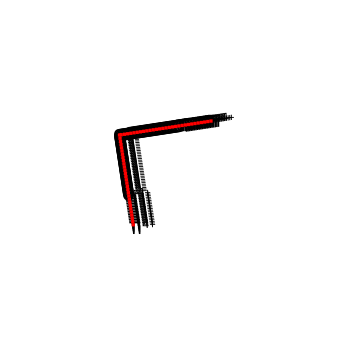 [O-2].[O-2].[O-2].[O-2].[O-2].[O-2].[O-2].[O-2].[O-2].[O-2].[O-2].[O-2].[O-2].[O-2].[O-2].[O-2].[O-2].[O-2].[O-2].[O-2].[O-2].[O-2].[O-2].[O-2].[O-2].[O-2].[O-2].[O-2].[O-2].[O-2].[O-2].[O-2].[O-2].[O-2].[O-2].[O-2].[O-2].[O-2].[O-2].[O-2].[O-2].[O-2].[O-2].[O-2].[O-2].[O-2].[O-2].[O-2].[O-2].[O-2].[O-2].[O-2].[O-2].[O-2].[O-2].[O-2].[O-2].[O-2].[O-2].[O-2].[O-2].[O-2].[O-2].[O-2].[O-2].[O-2].[O-2].[O-2].[O-2].[O-2].[O-2].[O-2].[O-2].[O-2].[O-2].[Ti+4].[Ti+4].[Ti+4].[Ti+4].[Ti+4].[Ti+4].[Ti+4].[Ti+4].[Ti+4].[Ti+4].[Ti+4].[Ti+4].[Ti+4].[Ti+4].[Ti+4].[Ti+4].[Ti+4].[Ti+4].[Ti+4].[Ti+4].[Ti+4].[Ti+4].[Ti+4].[Ti+4].[Ti+4].[Ti+4].[Ti+4].[Ti+4].[Ti+4].[Ti+4].[Ti+4].[Ti+4].[Ti+4].[Ti+4].[Ti+4].[Ti+4].[Ti+4].[Ti+4].[Ti+4].[Ti+4].[Ti+4].[Ti+4]